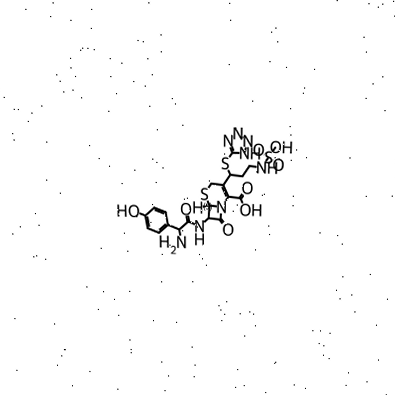 NC(C(=O)NC1C(=O)N2C(C(=O)O)=C(C(CCNS(=O)(=O)O)Sc3nnn[nH]3)CS[C@@H]12)c1ccc(O)cc1